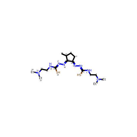 CCN(CC)CCN/C(S)=N/N=C1\CCC(C)\C1=N/N=C(\S)NCCN(CC)CC